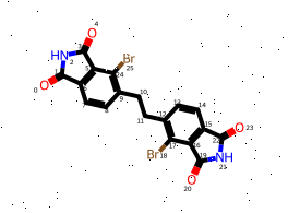 O=C1NC(=O)c2c1ccc(CCc1ccc3c(c1Br)C(=O)NC3=O)c2Br